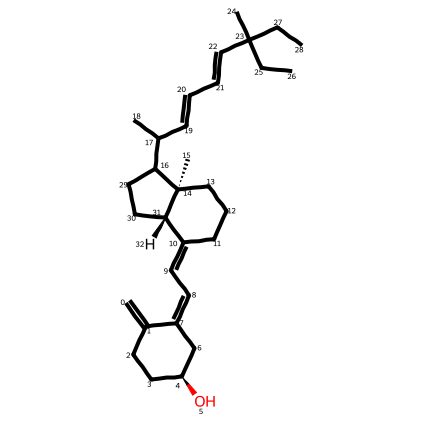 C=C1CC[C@H](O)C/C1=C/C=C1\CCC[C@]2(C)C(C(C)/C=C/C=C/C(C)(CC)CC)CC[C@@H]12